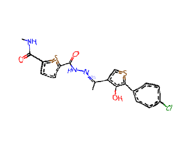 CNC(=O)c1ccc(C(=O)N/N=C(\C)c2csc(-c3ccc(Cl)cc3)c2O)s1